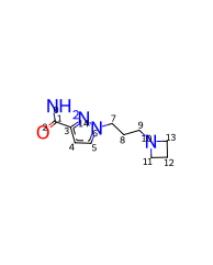 NC(=O)c1ccn(CCCN2CCC2)n1